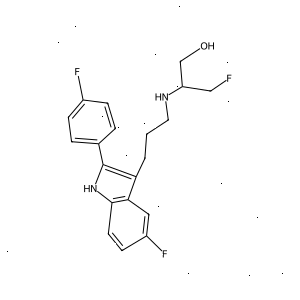 OCC(CF)NCCCc1c(-c2ccc(F)cc2)[nH]c2ccc(F)cc12